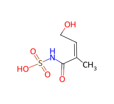 CC(=CCO)C(=O)NS(=O)(=O)O